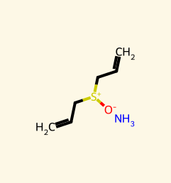 C=CC[S+]([O-])CC=C.N